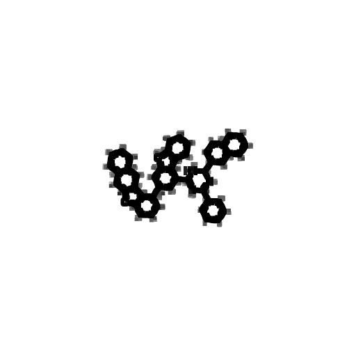 c1ccc(C2=NC(c3ccc4ccccc4c3)NC(c3cc(-c4cccc5oc6cc7ccccc7cc6c45)cc4oc5ccccc5c34)=N2)cc1